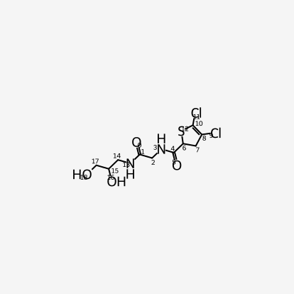 O=C(CNC(=O)C1CC(Cl)=C(Cl)S1)NCC(O)CO